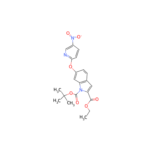 CCOC(=O)c1cc2ccc(Oc3ccc([N+](=O)[O-])cn3)cc2n1C(=O)OC(C)(C)C